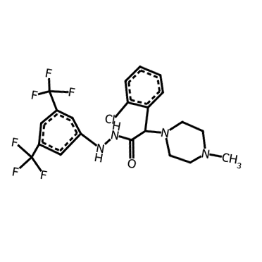 CN1CCN(C(C(=O)NNc2cc(C(F)(F)F)cc(C(F)(F)F)c2)c2ccccc2Cl)CC1